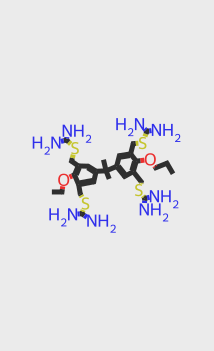 CCCOc1c(CSC(N)N)cc(C(C)(C)c2cc(CSC(N)N)c(OCC)c(CSC(N)N)c2)cc1CSC(N)N